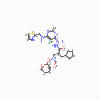 O=CN(C[C@H](CC1CCCC1)C(=O)NNc1nc(Cl)nc(NCc2nccs2)c1F)OC1CCCCO1